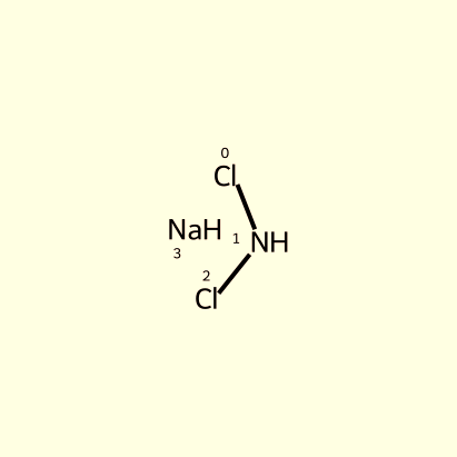 ClNCl.[NaH]